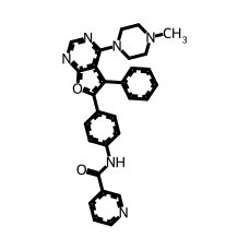 CN1CCN(c2ncnc3oc(-c4ccc(NC(=O)c5cccnc5)cc4)c(-c4ccccc4)c23)CC1